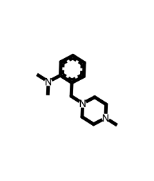 CN1CCN(Cc2ccccc2N(C)C)CC1